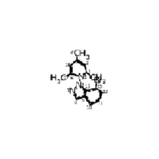 CC1=CC(C)N(n2ncc3cccc(Br)c32)C(C)=C1